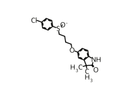 CC1(C)C(=O)Nc2ccc(OCCCC[S+]([O-])c3ccc(Cl)cc3)cc21